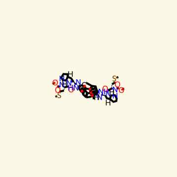 COC(=O)N[C@@H](CCSC)C(=O)N1[C@H](c2nc3cc(-c4cc5ccc4CCc4ccc(c(-c6ccc7[nH]c([C@@H]8C[C@@H]9CCCC[C@@H]9N8C(=O)[C@H](CCSC)NC(=O)OC)nc7c6)c4)C[C@H]5C)ccc3[nH]2)C[C@@H]2CCCC[C@@H]21